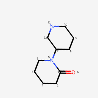 O=C1CCCCN1C1CCC[N]C1